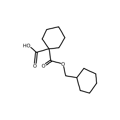 O=C(O)C1(C(=O)OCC2CCCCC2)CCCCC1